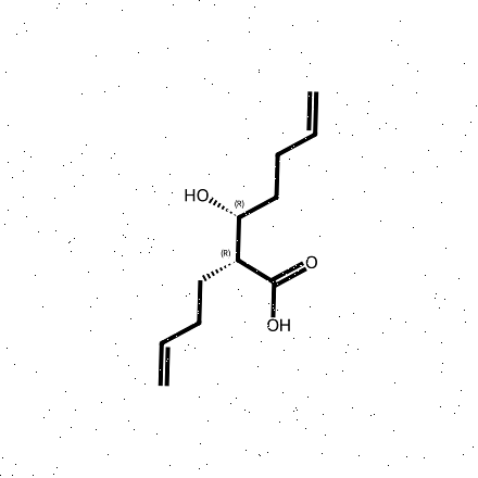 C=CCC[C@@H](O)[C@@H](CCC=C)C(=O)O